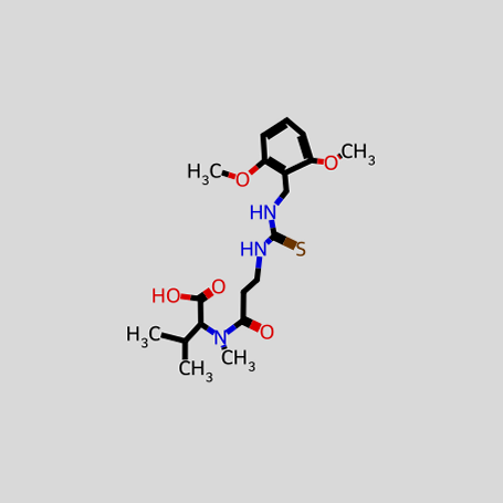 COc1cccc(OC)c1CNC(=S)NCCC(=O)N(C)C(C(=O)O)C(C)C